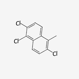 Cc1c(Cl)ccc2c(Cl)c(Cl)ccc12